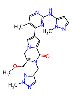 COC[C@H]1Cn2cc(-c3nc(Nc4ccnn4C)ncc3C)cc2C(=O)N1Cc1cnn(C)n1